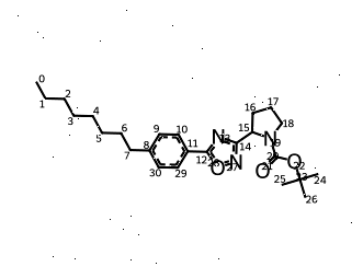 CCCCCCCCc1ccc(-c2nc(C3CCCN3C(=O)OC(C)(C)C)no2)cc1